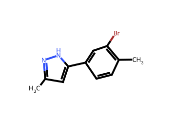 Cc1cc(-c2ccc(C)c(Br)c2)[nH]n1